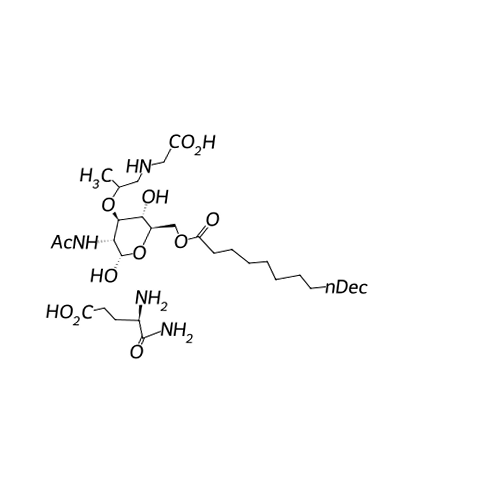 CCCCCCCCCCCCCCCCCC(=O)OC[C@H]1O[C@H](O)[C@H](NC(C)=O)[C@@H](OC(C)CNCC(=O)O)[C@@H]1O.NC(=O)[C@H](N)CCC(=O)O